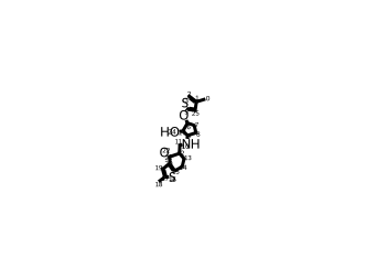 Cc1csc(OC2CCC(NCC3CCc4sc(C)cc4C3=O)C2O)c1